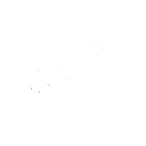 C[C@]12CC[C@](C)(C1)[C@H](F)[C@H](N(c1cnc(-c3ccc(-c4nnn(C(S)(S)S)n4)cc3O)nn1)C1(S)C(S)(S)C1(S)S)C2